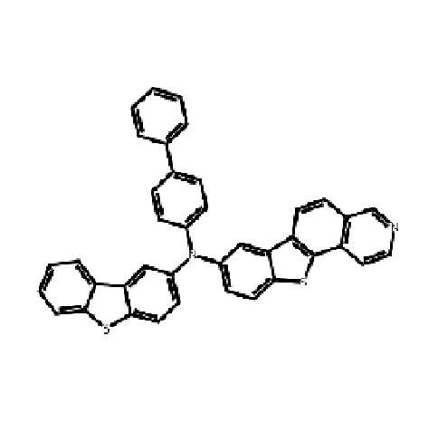 c1ccc(-c2ccc(N(c3ccc4sc5ccccc5c4c3)c3ccc4sc5c6ccncc6ccc5c4c3)cc2)cc1